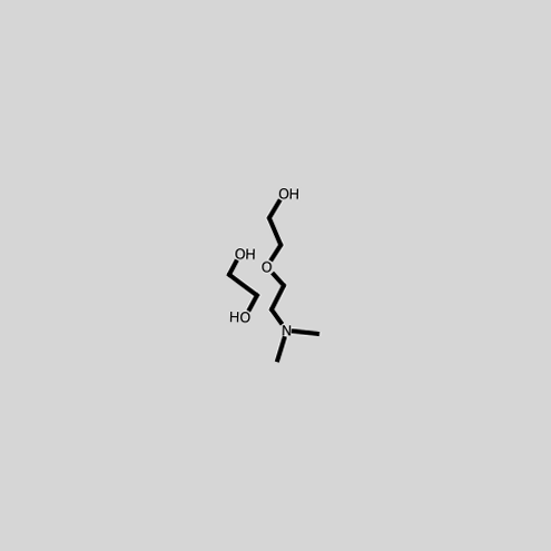 CN(C)CCOCCO.OCCO